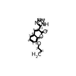 C=CCOc1cccc2cc(-c3nnn[nH]3)c(=O)oc12